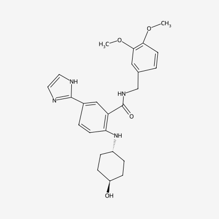 COc1ccc(CNC(=O)c2cc(-c3ncc[nH]3)ccc2N[C@H]2CC[C@H](O)CC2)cc1OC